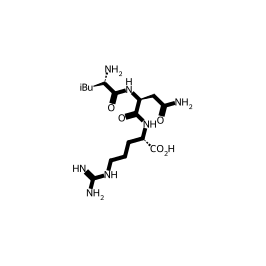 CC[C@H](C)[C@H](N)C(=O)N[C@@H](CC(N)=O)C(=O)N[C@@H](CCCNC(=N)N)C(=O)O